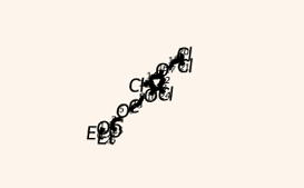 CCOC(CCOCCCCOc1c(Cl)cc(OCC=C(Cl)Cl)cc1Cl)OCC